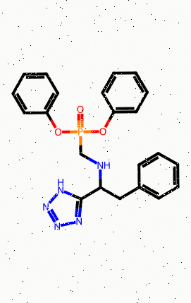 O=P(CNC(Cc1ccccc1)c1nnn[nH]1)(Oc1ccccc1)Oc1ccccc1